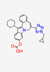 O=C(O)Oc1ccc2c(C3CCCCC3)c3n(c2c1)CC(c1nnn(CC2CC2)n1)=Cc1ccccc1-3